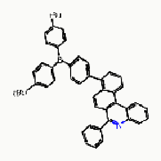 CC(C)(C)c1ccc(B(c2ccc(-c3cccc4c3ccc3c(-c5ccccc5)nc5ccccc5c34)cc2)c2ccc(C(C)(C)C)cc2)cc1